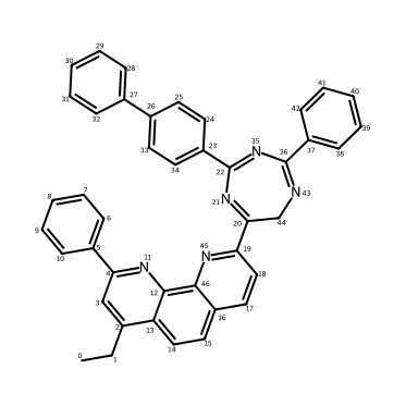 CCc1cc(-c2ccccc2)nc2c1ccc1ccc(C3=NC(c4ccc(-c5ccccc5)cc4)=NC(c4ccccc4)=NC3)nc12